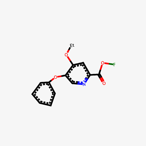 CCOc1cc(C(=O)OF)ncc1Oc1ccccc1